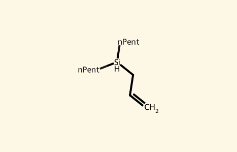 C=CC[SiH](CCCCC)CCCCC